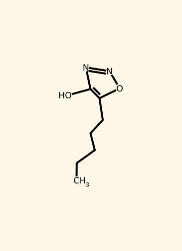 CCCCCc1onnc1O